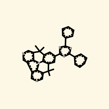 CC1(C)c2cc(-c3nc(-c4ccccc4)nc(-c4ccccc4)n3)cc3c2-n2c4c1cncc4c1cncc(c12)C3(C)C